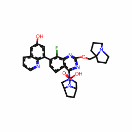 O=C(O)N1C2CCC1CN(c1nc(OCC34CCCN3CCC4)nc3c(F)c(-c4cc(O)cc5cccnc45)ccc13)C2